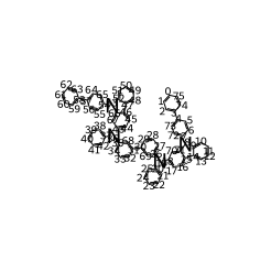 c1ccc(-c2ccc(-n3c4ccccc4c4ccc(N(c5ccccc5)c5cccc(-c6cccc(N(c7ccccc7)c7ccc8c9ccccc9n(-c9ccc(-c%10ccccc%10)cc9)c8c7)c6)c5)cc43)cc2)cc1